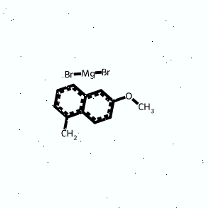 [Br][Mg][Br].[CH2]c1cccc2cc(OC)ccc12